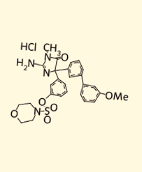 COc1cccc(-c2cccc(C3(c4cccc(OS(=O)(=O)N5CCOCC5)c4)N=C(N)N(C)C3=O)c2)c1.Cl